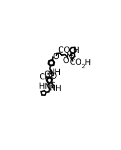 O=C(O)C(CCC(=O)N1C(C(=O)O)CC2CCCCC21)COCc1ccc(CNS(=O)(=O)c2cc3c(cc2Cl)NC(CC2CCCC2)NS3)cc1